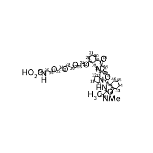 CNC(C)C(=O)NC(C(=O)N1CCC[C@H]1c1nc(C(=O)c2cccc(OCCOCCOCCOCCNC(=O)O)c2)cs1)C1CCCCC1